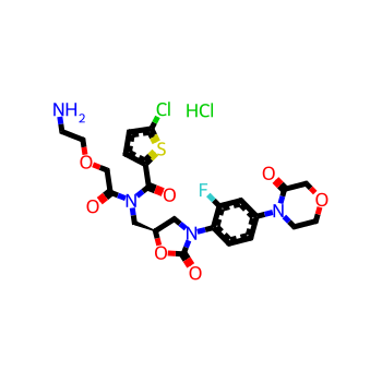 Cl.NCCOCC(=O)N(C[C@H]1CN(c2ccc(N3CCOCC3=O)cc2F)C(=O)O1)C(=O)c1ccc(Cl)s1